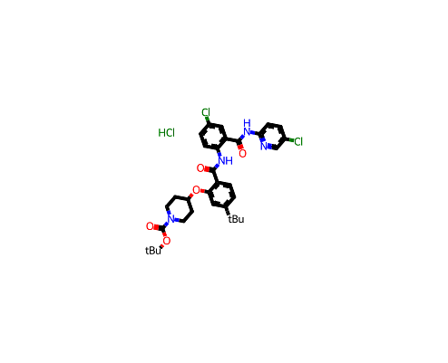 CC(C)(C)OC(=O)N1CCC(Oc2cc(C(C)(C)C)ccc2C(=O)Nc2ccc(Cl)cc2C(=O)Nc2ccc(Cl)cn2)CC1.Cl